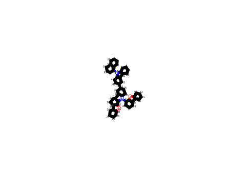 c1ccc2c(-n3c4ccccc4c4cc(-c5ccc6c(c5)c5ccc7c8ccccc8oc7c5n6-c5cccc6c5oc5ccccc56)ccc43)cccc2c1